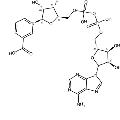 Nc1ncnc2c1ncn2C1O[C@H](COP(=O)(O)OP(=O)(O)OC[C@H]2O[C@@H]([n+]3cccc(C(=O)O)c3)[C@H](O)[C@@H]2O)[C@@H](O)[C@H]1O